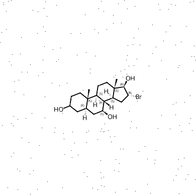 C[C@]12CCC(O)C[C@@H]1C[C@H](O)[C@@H]1[C@@H]2CC[C@]2(C)[C@@H](O)[C@H](Br)C[C@@H]12